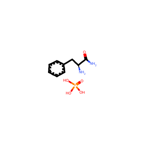 NC(=O)[C@@H](N)Cc1ccccc1.O=P(O)(O)O